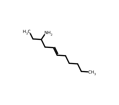 CCCCCC=CCC(N)CC